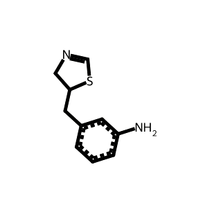 Nc1cccc(CC2CN=CS2)c1